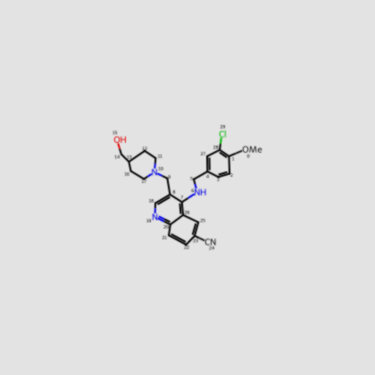 COc1ccc(CNc2c(CN3CCC(CO)CC3)cnc3ccc(C#N)cc23)cc1Cl